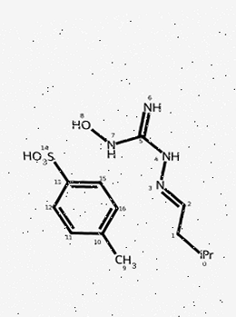 CC(C)CC=NNC(=N)NO.Cc1ccc(S(=O)(=O)O)cc1